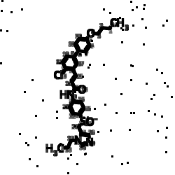 CCCCOc1ccc(-c2ccc(Cl)c(/C=C/C(=O)Nc3ccc([S@@+]([O-])Cc4cncn4CCC)cc3)c2)cc1